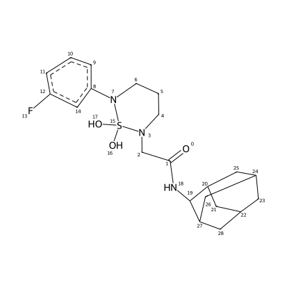 O=C(CN1CCCN(c2cccc(F)c2)S1(O)O)NC1C2CC3CC(C2)CC1C3